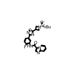 CCCC[S+]([O-])N1CC(c2nc(-c3ccc(F)c(NC(=O)c4cnc5ccccn45)c3)no2)C1